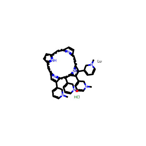 CN1C=CC=C(C2=Cc3cc4ccc(cc5nc(cc6[nH]c(c(C7=CC=CN(C)C7)c2n3)c(C2=CC=CN(C)C2)c6C2=CC=CN(C)C2)C=C5)[nH]4)C1.Cl.[Lu]